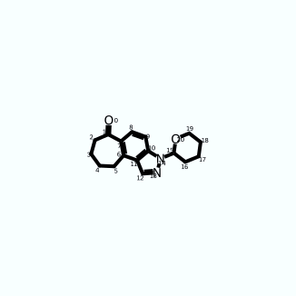 O=C1CCCCc2c1ccc1c2cnn1C1CCCCO1